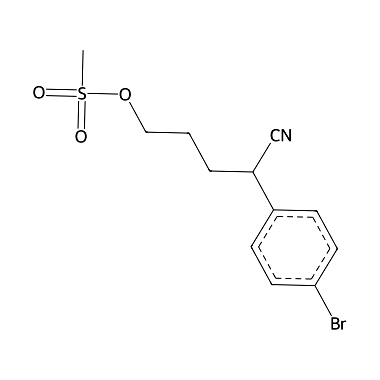 CS(=O)(=O)OCCCC(C#N)c1ccc(Br)cc1